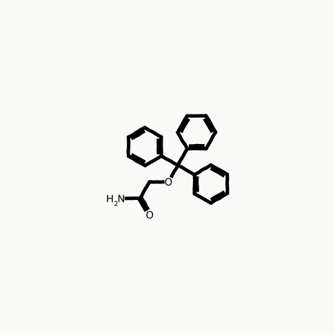 NC(=O)COC(c1ccccc1)(c1ccccc1)c1ccccc1